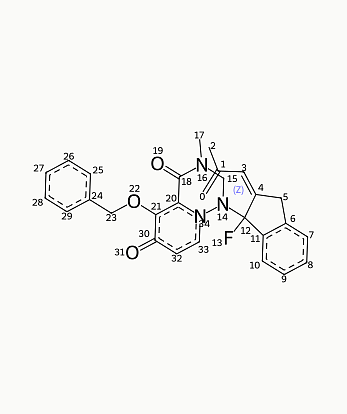 C=C(C)/C=C1/Cc2ccccc2C1(F)N1CN(C)C(=O)c2c(OCc3ccccc3)c(=O)ccn21